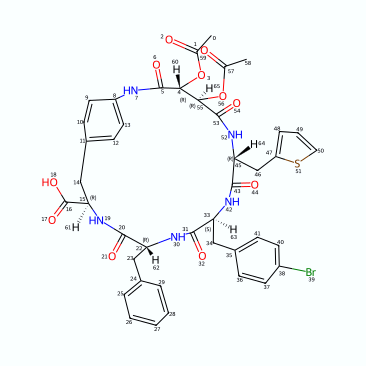 CC(=O)O[C@H]1C(=O)Nc2ccc(cc2)C[C@H](C(=O)O)NC(=O)[C@@H](Cc2ccccc2)NC(=O)[C@H](Cc2ccc(Br)cc2)NC(=O)[C@@H](Cc2cccs2)NC(=O)[C@@H]1OC(C)=O